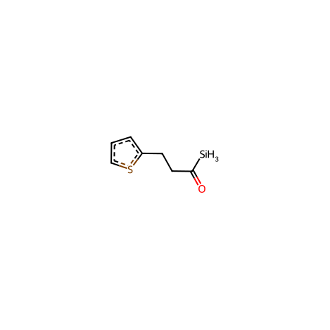 O=C([SiH3])CCc1cccs1